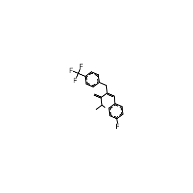 C=C(/C(=C\c1ccc(F)cc1)Cc1ccc(C(F)(F)F)cc1)C(C)C